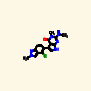 CNc1nc2[nH]cc(-c3ccc4nn(C)cc4c3Cl)c2c(=O)n1C